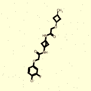 C[C@H]1C[C@@H](OCC(=O)NC23CC(NC(=O)COc4ccc(Cl)c(F)c4)(C2)C3)C1